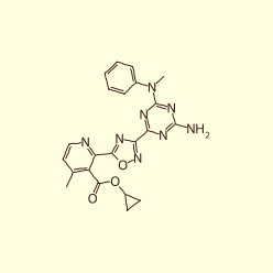 Cc1ccnc(-c2nc(-c3nc(N)nc(N(C)c4ccccc4)n3)no2)c1C(=O)OC1CC1